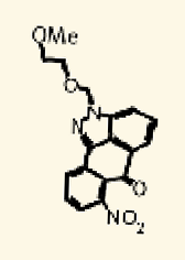 COCCOCn1nc2c3c(cccc31)C(=O)c1c-2cccc1[N+](=O)[O-]